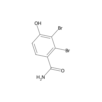 NC(=O)c1ccc(O)c(Br)c1Br